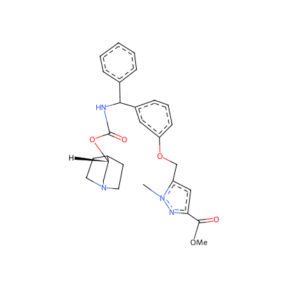 COC(=O)c1cc(COc2cccc(C(NC(=O)O[C@H]3CN4CCC3CC4)c3ccccc3)c2)n(C)n1